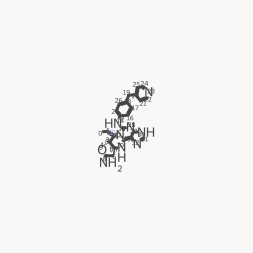 C/C=C\[C@@H](C)[C@H](CC(N)=O)Nc1nc(Nc2ccc(Cc3ccncc3)cc2)nc2[nH]cnc12